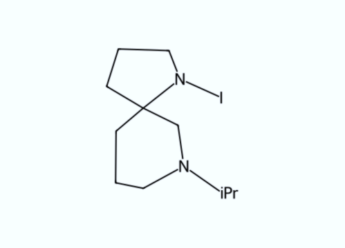 CC(C)N1CCCC2(CCCN2I)C1